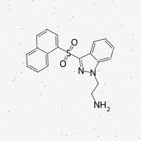 NCCn1nc(S(=O)(=O)c2cccc3ccccc23)c2ccccc21